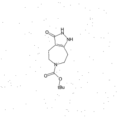 CC(C)(C)OC(=O)N1CCc2[nH][nH]c(=O)c2CC1